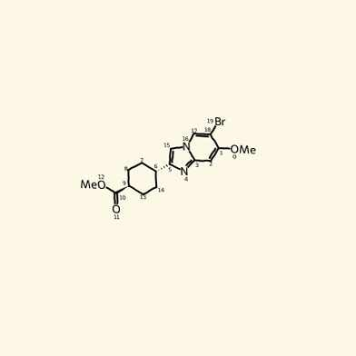 COc1cc2nc([C@H]3CC[C@H](C(=O)OC)CC3)cn2cc1Br